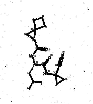 CC(C)C[C@H](NC(=O)C1CC12CCC2)C(=O)NC1(C#N)CC1